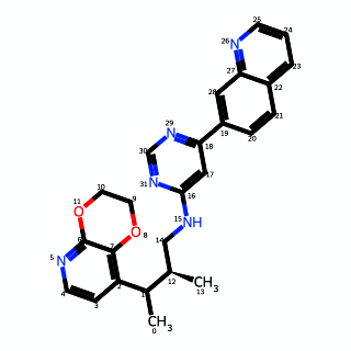 CC(c1ccnc2c1OCCO2)[C@H](C)CNc1cc(-c2ccc3cccnc3c2)ncn1